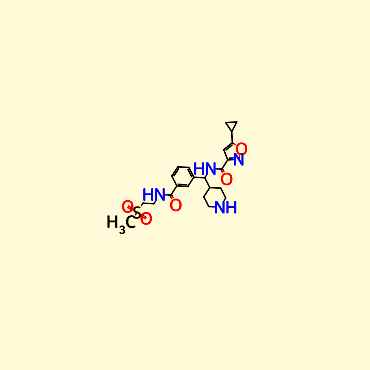 CS(=O)(=O)CCNC(=O)c1cccc(C(NC(=O)c2cc(C3CC3)on2)C2CCNCC2)c1